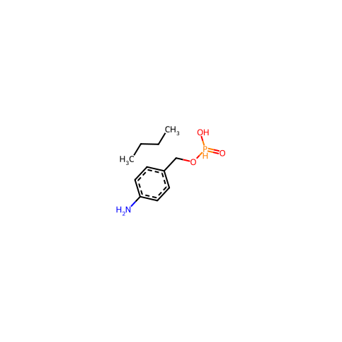 CCCC.Nc1ccc(CO[PH](=O)O)cc1